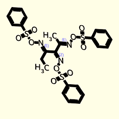 CCC(=N\OS(=O)(=O)c1ccccc1)/C(=N\OS(=O)(=O)c1ccccc1)C(/C)=N/OS(=O)(=O)c1ccccc1